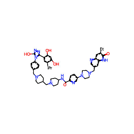 CCc1cc2ncc(CN3CCN(c4ccc(C(=O)NC5CCN(CC6CCN(Cc7ccc(-n8c(O)nnc8-c8cc(C(C)C)c(O)cc8O)cc7)CC6)CC5)nc4)CC3)cc2[nH]c1=O